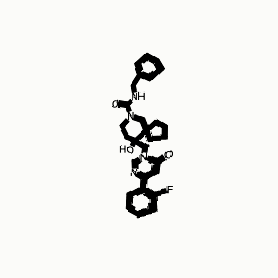 O=C(NCc1ccccc1)N1CCC(O)(Cn2cnc(-c3ccccc3F)cc2=O)C2(CCCC2)C1